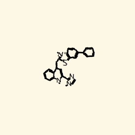 CN1C(c2nccn2C)=CC(=Cc2sc3cc(-c4ccccc4)ccc3[n+]2C)c2ccccc21